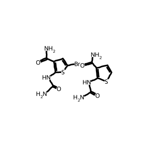 NC(=O)Nc1sc(Br)cc1C(N)=O.NC(=O)Nc1sccc1C(N)=O